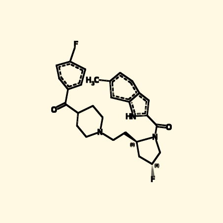 Cc1ccc2cc(C(=O)N3C[C@H](F)C[C@H]3CCN3CCC(C(=O)c4ccc(F)cc4)CC3)[nH]c2c1